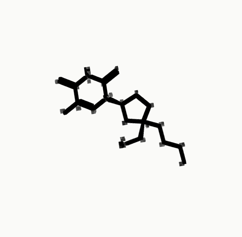 C=C1NC(=C)N([C@H]2CC[C@](CBr)(CCCC)C2)C=C1C